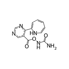 NC(=O)NOC(=O)c1cncnc1C1=CC=CC=CN1